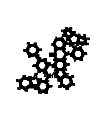 B1c2cccc3c2N(c2ccccc2C32c3ccccc3-c3ccccc32)c2cc3c(oc4ccccc43)c(-c3cc(-c4ccccc4)ccc3Nc3cccc4c3oc3ccccc34)c21